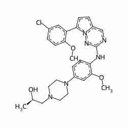 COc1cc(N2CCN(C[C@@H](C)O)CC2)ccc1Nc1ncc2ccc(-c3cc(Cl)ccc3OC)n2n1